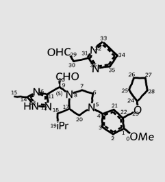 COc1ccc(N2CCN([C@H](C=O)c3n[nH]c(C)n3)C(CC(C)C)C2)cc1OC1CCCC1.O=CCc1ncccn1